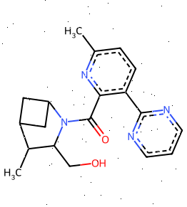 Cc1ccc(-c2ncccn2)c(C(=O)N2C3CC(C3)C(C)C2CO)n1